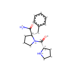 NC(=O)[C@]1(Cc2ccccc2)CCCN1C(=O)[C@@H]1CCCN1